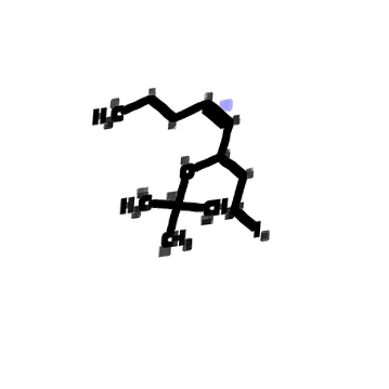 CCC/C=C\C(CCI)OC(C)(C)C